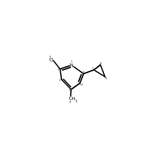 Cc1cc(Cl)nc(C2CC2)c1